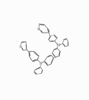 c1ccc(N(c2ccccc2)c2ccc(-c3cccnc3)cc2)cc1.c1ccc(N(c2ccccc2)c2ccc(-c3cccnc3)cc2)cc1